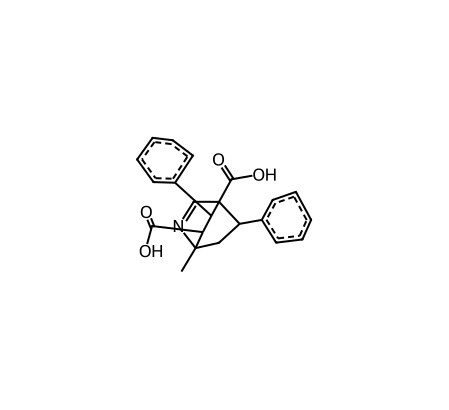 CC12CC(c3ccccc3)C(C(=O)O)(C=N1)C(c1ccccc1)C2C(=O)O